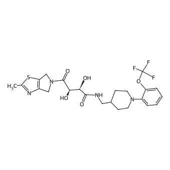 Cc1nc2c(s1)CN(C(=O)[C@H](O)[C@@H](O)C(=O)NCC1CCN(c3ccccc3OC(F)(F)F)CC1)C2